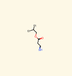 CCC(CC)COC(=O)CC=N